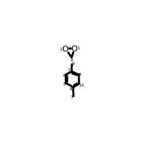 C1OO1.Cc1ccc(C)cc1